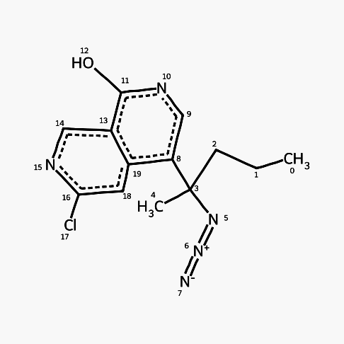 CCCC(C)(N=[N+]=[N-])c1cnc(O)c2cnc(Cl)cc12